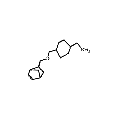 NCC1CCC(COCC2CC3C=CC2C3)CC1